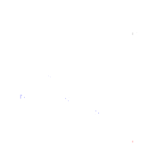 CCCOc1ccc(S(=O)(=O)N2CCNCC2N2CCN(CCO)CC2)cc1C(=O)O